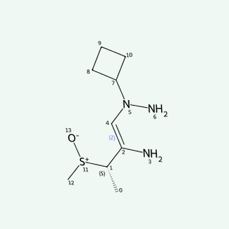 C[C@@H](/C(N)=C/N(N)C1CCC1)[S+](C)[O-]